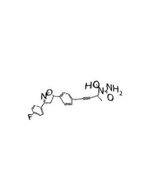 CC(C#Cc1ccc(C2CC(c3ccc(F)cc3)=NO2)cc1)N(O)C(N)=O